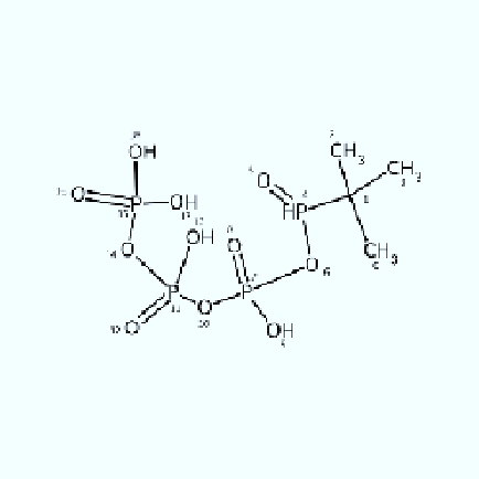 CC(C)(C)[PH](=O)OP(=O)(O)OP(=O)(O)OP(=O)(O)O